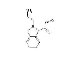 NCCN1Cc2ccccc2C1C(=O)C=O